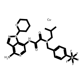 CC(C)CN(Cc1ccc(S(F)(F)(F)(F)F)cc1)C(=O)C(=O)Nc1cnc(N)c2cnn(C3CCCCO3)c12.[Cu]